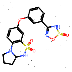 O=S1NC(c2cccc(Oc3ccc4c(c3)S(=O)(=O)NC3CCCN43)c2)=NO1